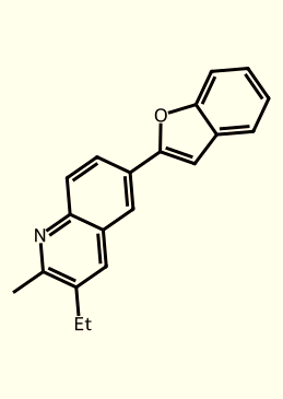 CCc1cc2cc(-c3cc4ccccc4o3)ccc2nc1C